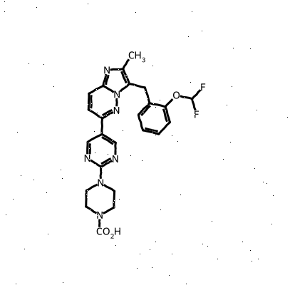 Cc1nc2ccc(-c3cnc(N4CCN(C(=O)O)CC4)nc3)nn2c1Cc1ccccc1OC(F)F